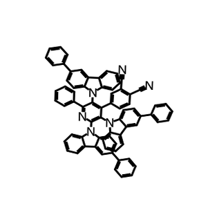 N#Cc1ccc(-c2c(-n3c4ccccc4c4cc(-c5ccccc5)ccc43)c(-c3ccccc3)nc(-n3c4ccccc4c4cc(-c5ccccc5)ccc43)c2-n2c3ccccc3c3cc(-c4ccccc4)ccc32)cc1C#N